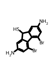 Nc1cc(Br)c2c(c1)C(S)c1cc(N)cc(Br)c1-2